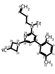 C=CCCN(CC)c1cc(-c2cc(C)ccc2C)cc(N2CC(C#N)C2)n1